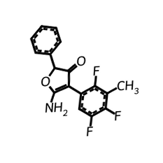 Cc1c(F)c(F)cc(C2=C(N)OC(c3ccccc3)C2=O)c1F